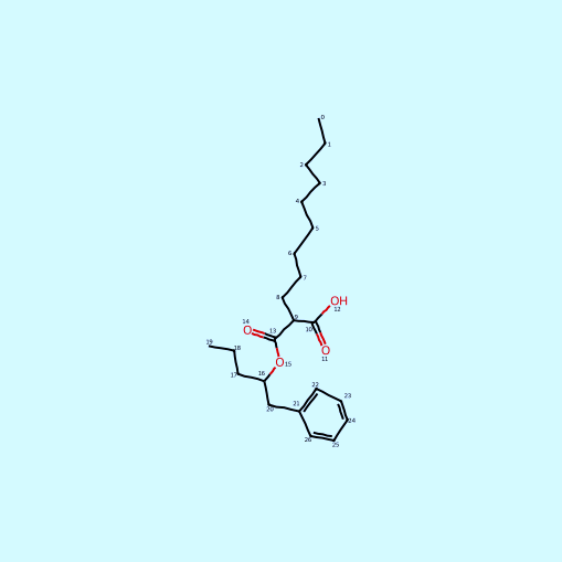 CCCCCCCCCC(C(=O)O)C(=O)OC(CCC)Cc1ccccc1